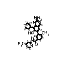 Cc1ccc(C(=O)Nc2cc(C(F)(F)F)ncn2)cc1-c1cc2cnc(N)nc2c(-c2ccncc2)c1O